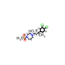 CC(CCN1CCCN(S(C)(=O)=O)CC1)(C(=O)O)c1ccc(Cl)c(Cl)c1